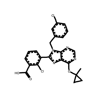 CC1(Oc2ncnc3c2nc(-c2cccc(C(=O)O)c2Cl)n3Cc2cccc(Cl)c2)CC1